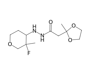 CC1(CC(=O)NNC2CCOCC2(C)F)OCCO1